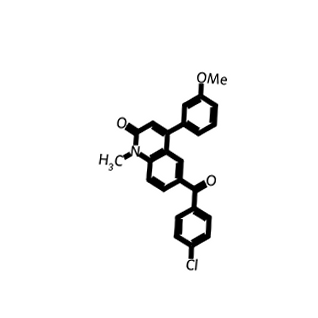 COc1cccc(-c2cc(=O)n(C)c3ccc(C(=O)c4ccc(Cl)cc4)cc23)c1